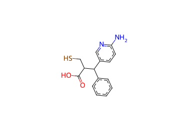 Nc1ccc(C(c2ccccc2)C(CS)C(=O)O)cn1